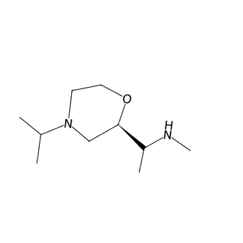 CNC(C)[C@H]1CN(C(C)C)CCO1